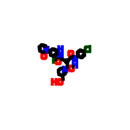 O=C(Nc1ccc(Cl)cc1)C1C(C(=O)Nc2ccc(-n3ccccc3=O)cc2F)C1C(=O)N1CCCC(CO)C1